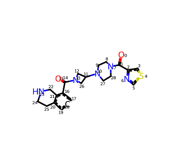 O=C(c1cscn1)N1CCN(C2CN(C(=O)c3cccc4c3CNCC4)C2)CC1